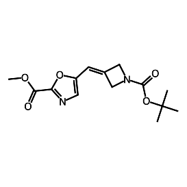 COC(=O)c1ncc(C=C2CN(C(=O)OC(C)(C)C)C2)o1